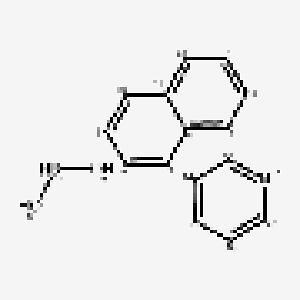 OBO.c1ccc2ccccc2c1.c1ccncc1